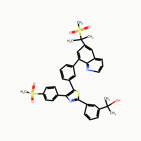 CC(C)(O)c1cccc(-c2nc(-c3ccc(S(C)(=O)=O)cc3)c(-c3cccc(-c4cc(C(C)(C)S(C)(=O)=O)cc5cccnc45)c3)s2)c1